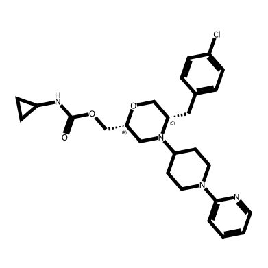 O=C(NC1CC1)OC[C@H]1CN(C2CCN(c3ccccn3)CC2)[C@@H](Cc2ccc(Cl)cc2)CO1